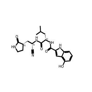 CC(C)C[C@H](NC(=O)c1cc2c(O)cccc2[nH]1)C(=O)N[C@H](C#N)C[C@@H]1CCNC1=O